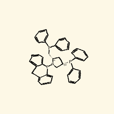 c1ccc(P(C[C@@H]2C[C@H](P(c3ccccc3)c3ccccc3)CN2P2c3ccccc3Cc3ccccc32)c2ccccc2)cc1